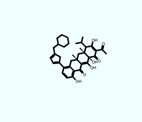 CC(=O)C1=C(O)C(C(C)C)[C@@]2(C)C[C@@]3(C)Cc4c(C5=CC=C(CC6CCCCC6)C5)ccc(O)c4C(=O)C3=C(O)[C@@]2(O)C1=O